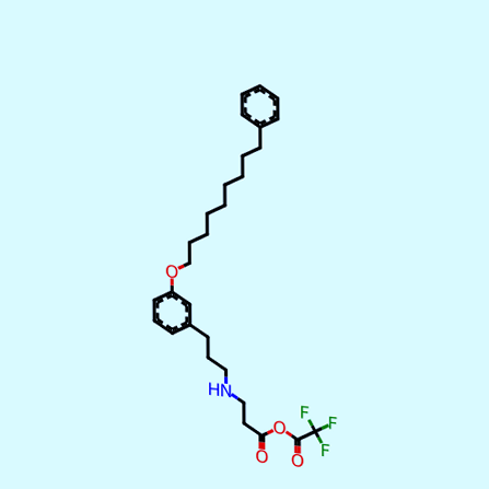 O=C(CCNCCCc1cccc(OCCCCCCCCCc2ccccc2)c1)OC(=O)C(F)(F)F